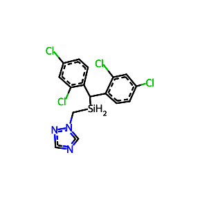 Clc1ccc(C([SiH2]Cn2cncn2)c2ccc(Cl)cc2Cl)c(Cl)c1